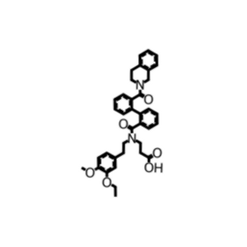 CCOc1cc(CCN(CCC(=O)O)C(=O)c2ccccc2-c2ccccc2C(=O)N2CCc3ccccc3C2)ccc1OC